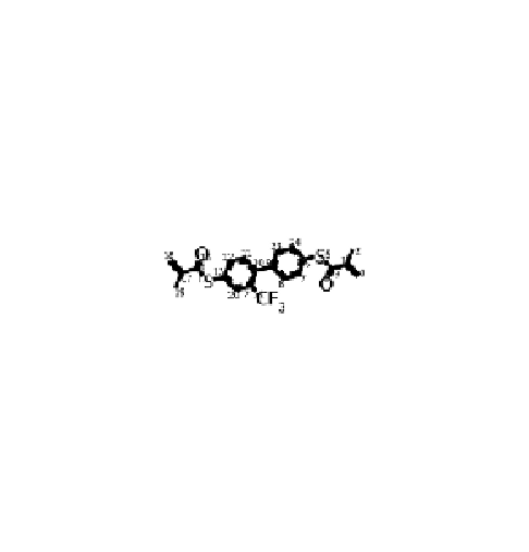 C=C(C)C(=O)Sc1ccc(-c2ccc(SC(=O)C(=C)C)cc2C(F)(F)F)cc1